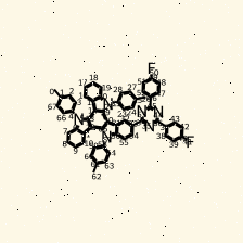 Cc1ccc(-n2c3ccccc3c3c2c2c4ccccc4n(-c4ccc(C)cc4)c2c2c4cc(-c5nc(-c6ccc(F)cc6)nc(-c6ccc(F)cc6)n5)ccc4n(-c4ccc(C)cc4)c32)cc1